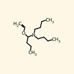 C=COC(CCC)N(CCCC)CCCC